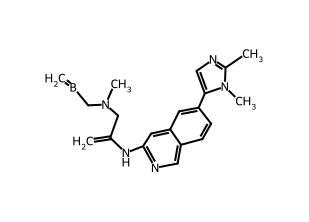 C=BCN(C)CC(=C)Nc1cc2cc(-c3cnc(C)n3C)ccc2cn1